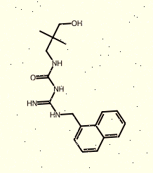 CC(C)(CO)CNC(=O)NC(=N)NCc1cccc2ccccc12